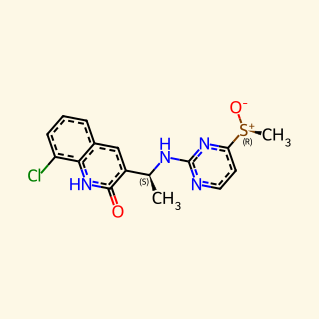 C[C@H](Nc1nccc([S@+](C)[O-])n1)c1cc2cccc(Cl)c2[nH]c1=O